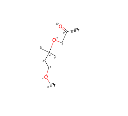 CC(C)OCCC(C)(C)OCC(=O)C(C)C